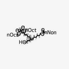 CCCCCCCCCC(=O)OCCCCCCN(CCCO)CCCCCCC(C)(C(=O)OCCCCCCCC)C(=O)OCCCCCCCC